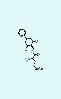 CSCCC(N)C(=O)OC=C1C(=O)CC(c2ccccc2)CC1=O